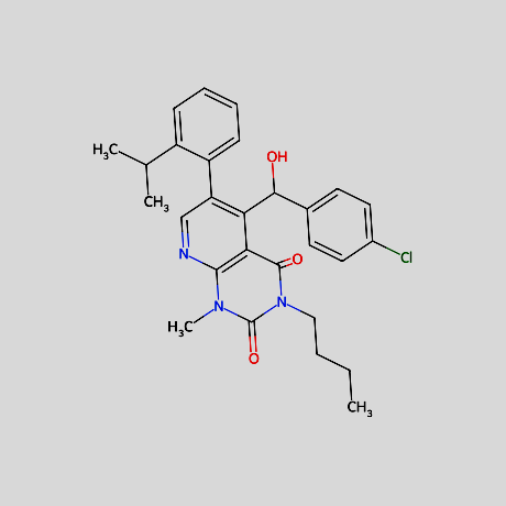 CCCCn1c(=O)c2c(C(O)c3ccc(Cl)cc3)c(-c3ccccc3C(C)C)cnc2n(C)c1=O